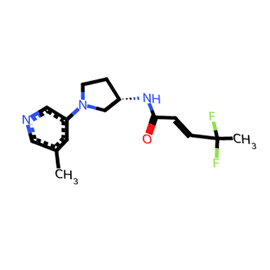 Cc1cncc(N2CC[C@H](NC(=O)/C=C/C(C)(F)F)C2)c1